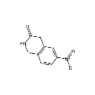 O=C1Cc2cc([N+](=O)[O-])ccc2CN1